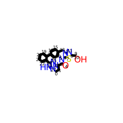 CCCC(=O)N=c1sc(CO)nn1Cc1ccc(-c2ccccc2-c2nnn[nH]2)cc1